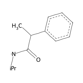 CC(C)[N]C(=O)C(C)c1ccccc1